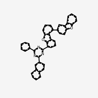 c1ccc(-c2nc(-c3ccc4ccccc4c3)nc(-c3cccc4c3oc3cccc(-c5ccc6oc7ccccc7c6c5)c34)n2)cc1